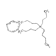 CCCC[N+](CCCC)(CCCC)CCCC.c1ccccc1